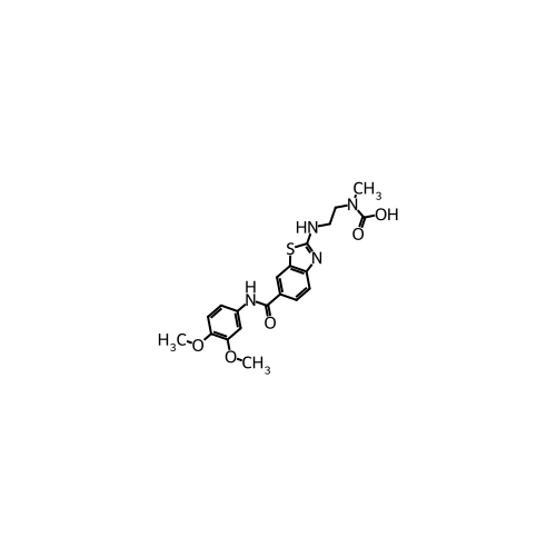 COc1ccc(NC(=O)c2ccc3nc(NCCN(C)C(=O)O)sc3c2)cc1OC